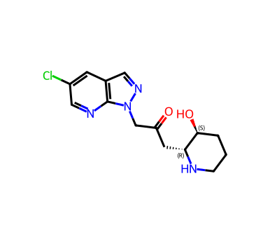 O=C(C[C@H]1NCCC[C@@H]1O)Cn1ncc2cc(Cl)cnc21